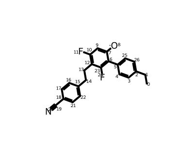 CCc1ccc(-c2c([O])cc(F)c(CCc3ccc(C#N)cc3)c2F)cc1